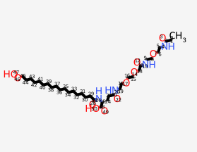 CCC(=O)NCCOCCNC(=O)COCCOCCNC(=O)CC[C@@H](NC(=O)CCCCCCCCCCCCCCCCCOO)C(=O)O